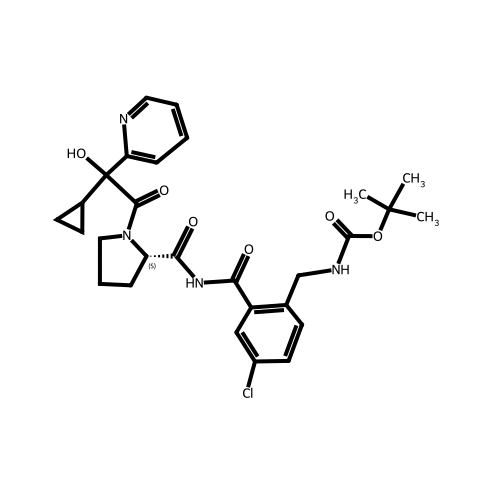 CC(C)(C)OC(=O)NCc1ccc(Cl)cc1C(=O)NC(=O)[C@@H]1CCCN1C(=O)C(O)(c1ccccn1)C1CC1